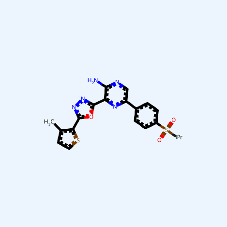 Cc1ccsc1-c1nnc(-c2nc(-c3ccc(S(=O)(=O)C(C)C)cc3)cnc2N)o1